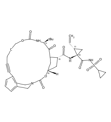 C=C[C@@H]1C[C@]1(NC(=O)[C@@H]1C[C@H]2CC1C(=O)[C@H](C(C)(C)C)NC(=O)OCCCC#Cc1cccc3c1CN(C3)C(=O)O2)C(=O)NS(=O)(=O)C1CC1